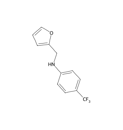 FC(F)(F)c1ccc(NCc2ccco2)cc1